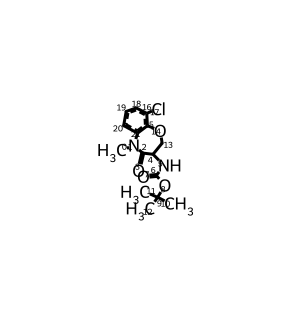 CN1C(=O)C(NC(=O)OC(C)(C)C)COc2c(Cl)cccc21